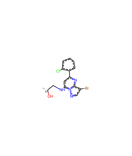 C[C@@H](O)CNc1cc(-c2ccccc2Cl)nc2c(Br)cnn12